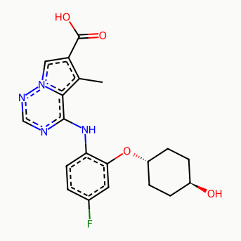 Cc1c(C(=O)O)cn2ncnc(Nc3ccc(F)cc3O[C@H]3CC[C@H](O)CC3)c12